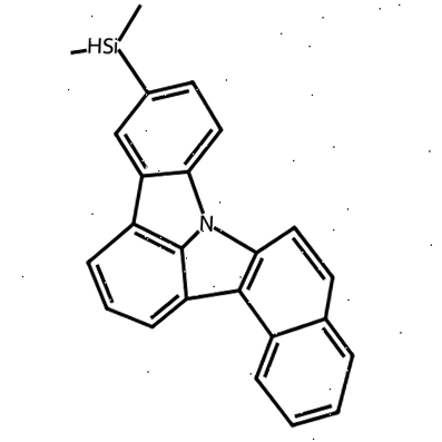 C[SiH](C)c1ccc2c(c1)c1cccc3c4c5ccccc5ccc4n2c13